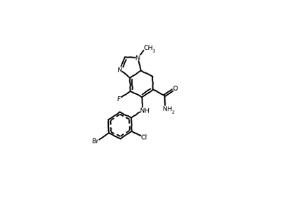 CN1C=NC2=C(F)C(Nc3ccc(Br)cc3Cl)=C(C(N)=O)CC21